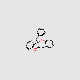 O=C1Cc2ccccc2OC1(Cc1ccccc1)c1ccccc1